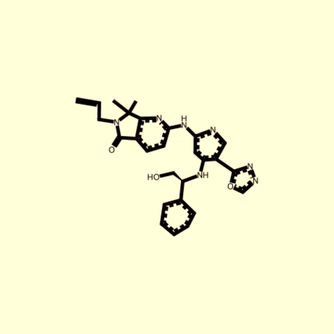 C=CCN1C(=O)c2ccc(Nc3cc(N[C@H](CO)c4ccccc4)c(-c4nnco4)cn3)nc2C1(C)C